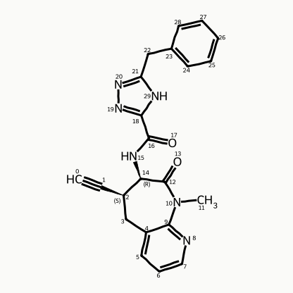 C#C[C@@H]1Cc2cccnc2N(C)C(=O)[C@@H]1NC(=O)c1nnc(Cc2ccccc2)[nH]1